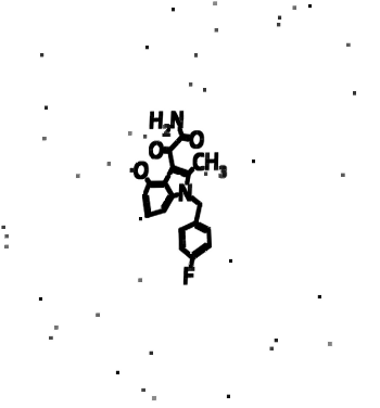 Cc1c(C(=O)C(N)=O)c2c([O])cccc2n1Cc1ccc(F)cc1